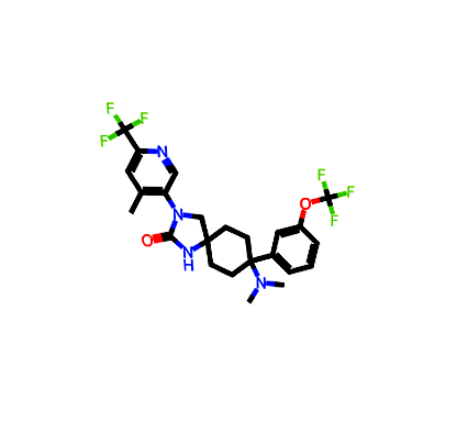 Cc1cc(C(F)(F)F)ncc1N1CC2(CCC(c3cccc(OC(F)(F)F)c3)(N(C)C)CC2)NC1=O